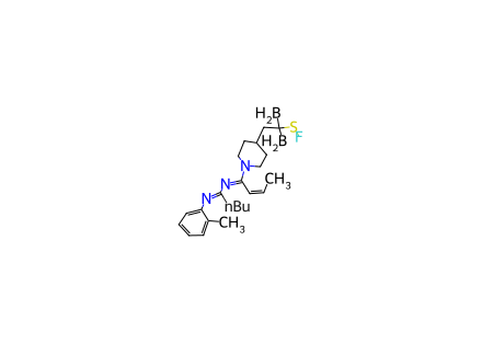 BC(B)(CC1CCN(C(/C=C\C)=N/C(CCCC)=N/c2ccccc2C)CC1)SF